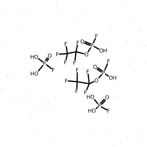 O=P(O)(F)OC(F)(F)C(F)(F)F.O=P(O)(F)OC(F)(F)C(F)(F)F.O=P(O)(O)F.O=P(O)(O)F